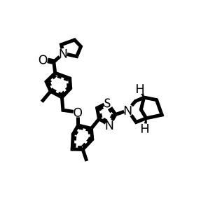 Cc1ccc(OCc2ccc(C(=O)N3CCCC3)cc2C)c(-c2csc(N3C[C@@H]4CC[C@@H](C4)C3)n2)c1